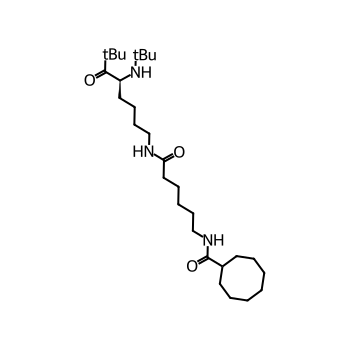 CC(C)(C)N[C@@H](CCCCNC(=O)CCCCCNC(=O)C1CCCCCCC1)C(=O)C(C)(C)C